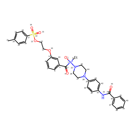 CC[N+]([O-])(C(=O)c1cccc(OCCOS(=O)(=O)c2ccc(C)cc2)c1)N1CCN(c2ccc(NC(=O)c3ccccc3)cc2)CC1